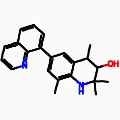 Cc1cc(-c2cccc3cccnc23)cc2c1NC(C)(C)C(O)C2C